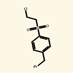 CC(C)Cc1ccc(S(=O)(=O)CCCl)cc1